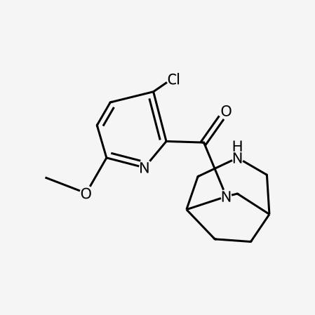 COc1ccc(Cl)c(C(=O)N2CC3CCC2CNC3)n1